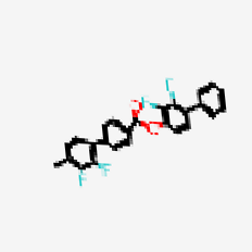 Cc1ccc(-c2ccc(C(=O)Oc3ccc(-c4ccccc4)c(F)c3F)cc2)c(F)c1F